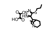 CCCSc1nsnc1C1CN2CCCC1C2C.O=C(O)C(=O)O